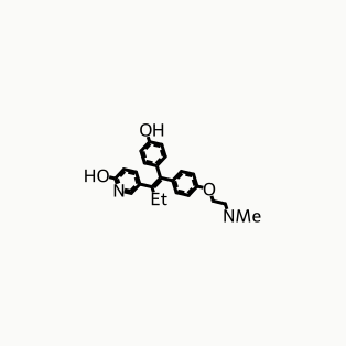 CCC(=C(c1ccc(O)cc1)c1ccc(OCCNC)cc1)c1ccc(O)nc1